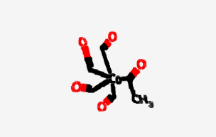 C[C](=O)[Co]([CH]=O)([CH]=O)([CH]=O)[CH]=O